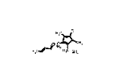 C=CC=CC.CC1=C(C)C(C)[C]([Ti])=C1C.[SiH4]